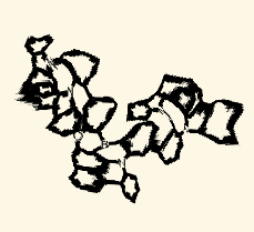 c1ccc(-c2ccccc2N2c3cc(-c4cccc(-n5c6ccccc6c6ccccc65)c4-n4c5ccccc5c5ccccc54)ccc3B3c4ccc(-c5cccc(-n6c7ccccc7c7ccccc76)c5-n5c6ccccc6c6ccccc65)cc4Oc4cccc2c43)cc1